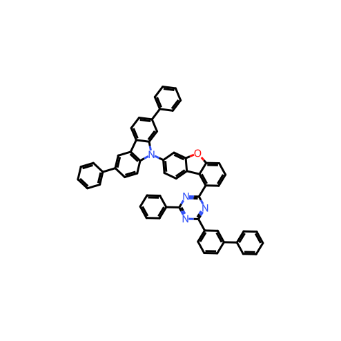 c1ccc(-c2cccc(-c3nc(-c4ccccc4)nc(-c4cccc5oc6cc(-n7c8ccc(-c9ccccc9)cc8c8ccc(-c9ccccc9)cc87)ccc6c45)n3)c2)cc1